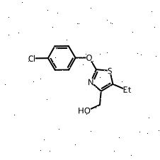 CCc1sc(Oc2ccc(Cl)cc2)nc1CO